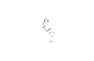 Cc1ccc(C(F)(F)F)cc1Nc1nc(C(=O)NS(=O)(=O)N2CCOC(COC(F)F)CC2)co1